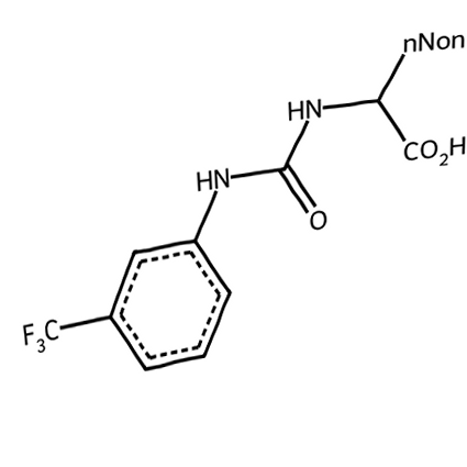 CCCCCCCCCC(NC(=O)Nc1cccc(C(F)(F)F)c1)C(=O)O